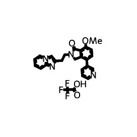 COc1ccc(-c2cccnc2)c2c1C(=O)N(CCc1cn3ccccc3n1)C2.O=C(O)C(F)(F)F